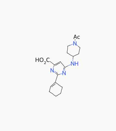 CC(=O)N1CCC(Nc2cc(C(=O)O)nc(C3=CCCCC3)n2)CC1